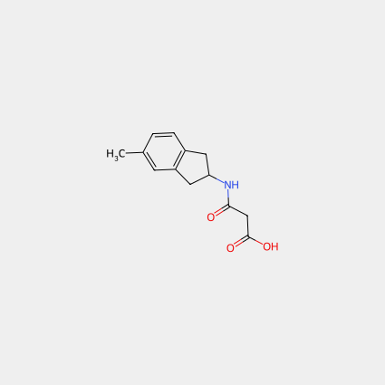 Cc1ccc2c(c1)CC(NC(=O)CC(=O)O)C2